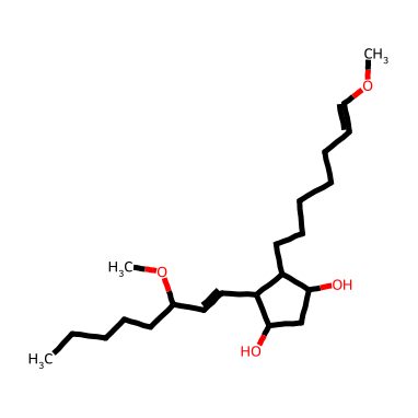 CCCCCC(/C=C/C1C(O)CC(O)C1CCCCCC=COC)OC